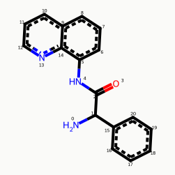 NC(C(=O)Nc1cccc2cccnc12)c1ccccc1